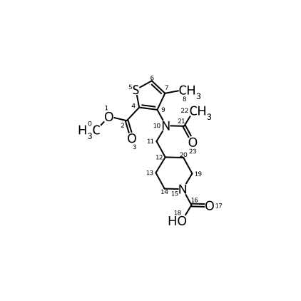 COC(=O)c1scc(C)c1N(CC1CCN(C(=O)O)CC1)C(C)=O